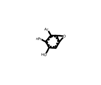 CCCc1c(O)cc2c(c1C(C)=O)O2